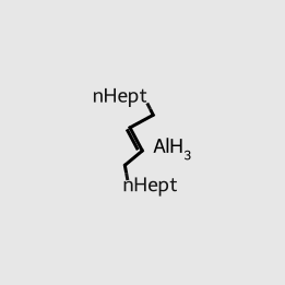 CCCCCCCCC=CCCCCCCCC.[AlH3]